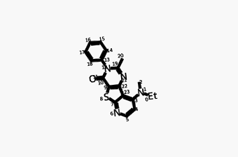 CCN(C)c1ccnc2sc3c(=O)n(-c4ccccc4)c(C)nc3c12